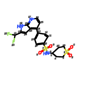 O=S1(=O)CCC(NS(=O)(=O)c2ccc(-c3ccnc4[nH]c(C(F)F)cc34)cc2)CC1